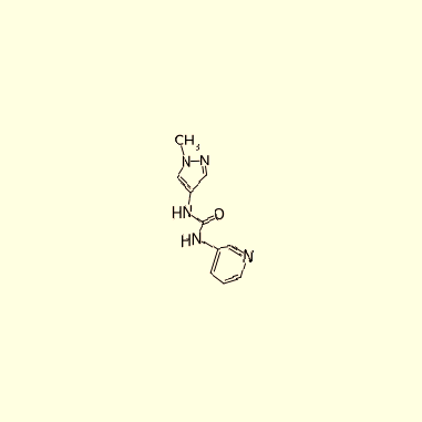 Cn1cc(NC(=O)Nc2cccnc2)cn1